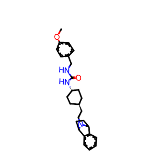 COc1ccc(CNC(=O)N[C@H]2CC[C@H](CCN3C4CCC3c3ccccc34)CC2)cc1